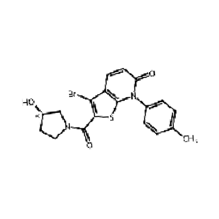 Cc1ccc(-n2c(=O)ccc3c(Br)c(C(=O)N4CC[C@@H](O)C4)sc32)cc1